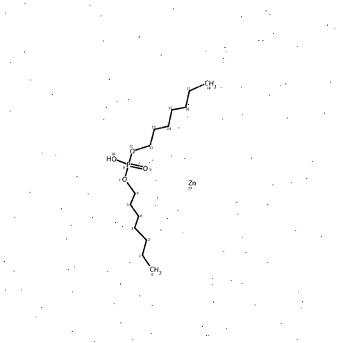 CCCCCCCOP(=O)(O)OCCCCCCC.[Zn]